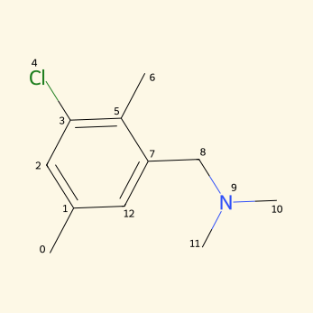 Cc1cc(Cl)c(C)c(CN(C)C)c1